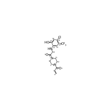 C=CC(=O)N1CCN(C(=O)CNc2cc(C(F)(F)F)c(Cl)cc2O)CC1